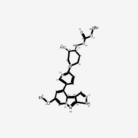 CCOc1cc(-c2ccc(N3CC[C@H](NOC(=O)OC(C)(C)C)[C@H](O)C3)nc2)c2c3cn[nH]c3nn2c1